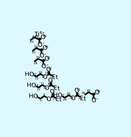 CCC(=O)OCCO.CCC(=O)OCCO.CCC(=O)OCCO.CCC(=O)OCCO.CCC(=O)[O-].CCC(=O)[O-].CCC(=O)[O-].CCC(=O)[O-].[Ti+4]